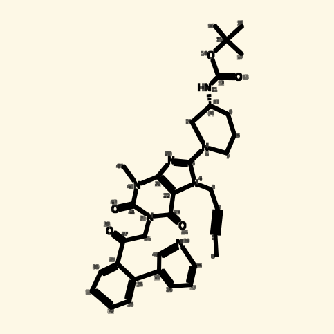 CC#CCn1c(N2CCC[C@@H](NC(=O)OC(C)(C)C)C2)nc2c1c(=O)n(CC(=O)c1ccccc1-c1cccnc1)c(=O)n2C